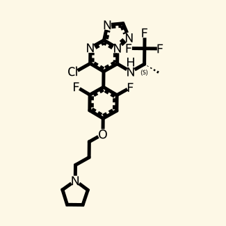 C[C@H](Nc1c(-c2c(F)cc(OCCCN3CCCC3)cc2F)c(Cl)nc2ncnn12)C(F)(F)F